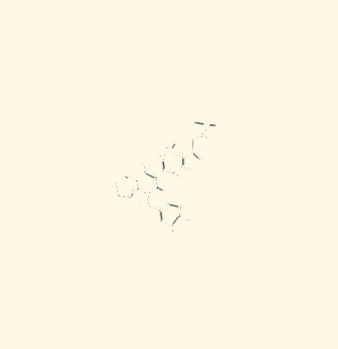 Cc1cc(CN2C(=O)C(C3=NS(=O)(=O)c4c(CNS(C)(=O)=O)csc4N3)=C(O)[C@@H]3C4CCC(CC4)[C@@H]32)ccc1F